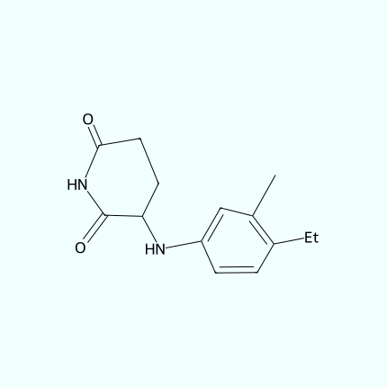 CCc1ccc(NC2CCC(=O)NC2=O)cc1C